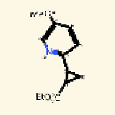 CCOC(=O)C1CC1c1ccc(OC)cn1